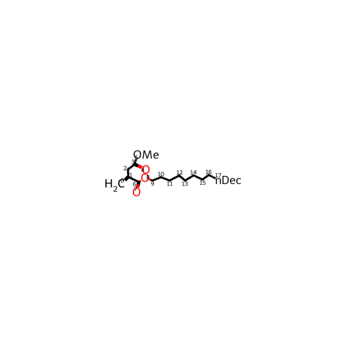 C=C(CC(=O)OC)C(=O)OCCCCCCCCCCCCCCCCCC